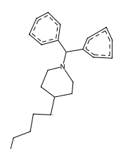 CCCC[CH]C1CCN(C(c2ccccc2)c2ccccc2)CC1